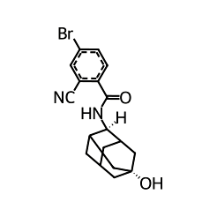 N#Cc1cc(Br)ccc1C(=O)N[C@H]1C2CC3CC1C[C@](O)(C3)C2